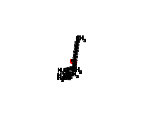 CCCCCCCCCCCCCCCC(=O)OC\C=C(C)/C=C/C=C(C)\C=C\C1=C(C)CCCC1(C)C